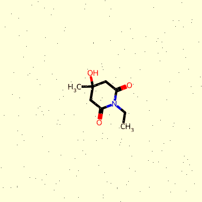 CCN1C(=O)CC(C)(O)CC1=O